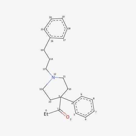 CCC(=O)C1(c2ccccc2)CCN(CCCc2ccccc2)CC1